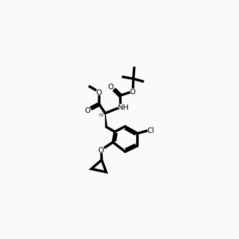 COC(=O)[C@H](Cc1cc(Cl)ccc1OC1CC1)NC(=O)OC(C)(C)C